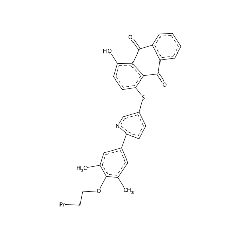 Cc1cc(-c2ccc(Sc3ccc(O)c4c3C(=O)c3ccccc3C4=O)cn2)cc(C)c1OCCC(C)C